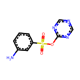 Nc1cccc(S(=O)(=O)Oc2ncncn2)c1